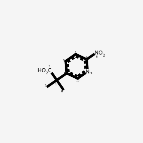 CC(C)(C(=O)O)c1ccc([N+](=O)[O-])nc1